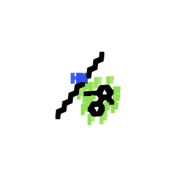 CCCCCCCCCNCCCCCC.Fc1c(F)c(F)c(-c2c(C(F)(F)F)c(F)c(F)c(F)c2C(F)(F)C(F)(F)F)c(F)c1F